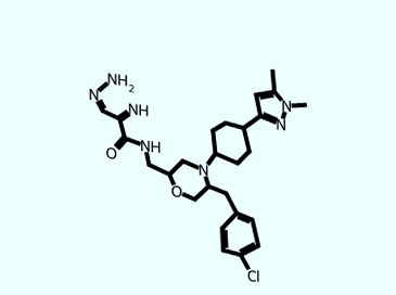 Cc1cc(C2CCC(N3CC(CNC(=O)C(=N)/C=N\N)OCC3Cc3ccc(Cl)cc3)CC2)nn1C